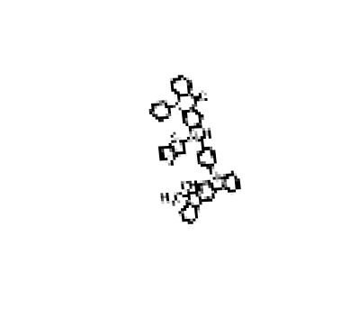 CC1(C)c2ccccc2-c2cc3c4ccccc4n(-c4ccc(-c5nc6cc7c(=O)c8ccccc8n(-c8ccccc8)c7cc6n5-c5cc6sccc6s5)cc4)c3cc21